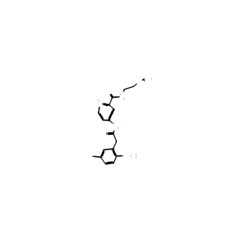 CCOCCNC(=O)c1cc(NC(=O)Cc2cc(Cl)ccc2O)ccn1